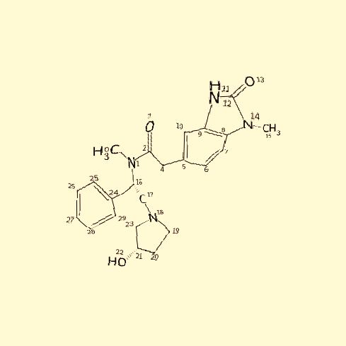 CN(C(=O)Cc1ccc2c(c1)[nH]c(=O)n2C)[C@H](CN1CC[C@H](O)C1)c1ccccc1